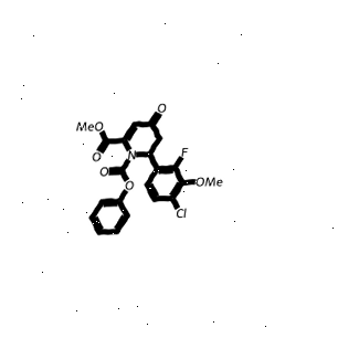 COC(=O)C1=CC(=O)CC(c2ccc(Cl)c(OC)c2F)N1C(=O)Oc1ccccc1